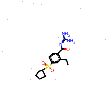 CCc1cc(S(=O)(=O)C2CCCC2)ccc1C(=O)N=C(N)N